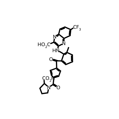 Cc1cccc(C(=O)c2ccc(C(=O)N3CCCC3C(=O)O)cc2)c1Nc1nc2cc(C(F)(F)F)ccc2nc1C(=O)O